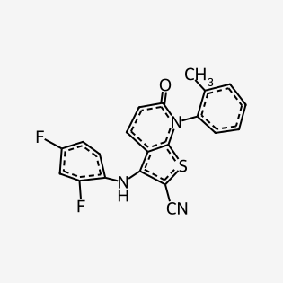 Cc1ccccc1-n1c(=O)ccc2c(Nc3ccc(F)cc3F)c(C#N)sc21